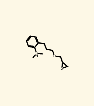 C[SiH](C)c1ccccc1CCCOCC1CO1